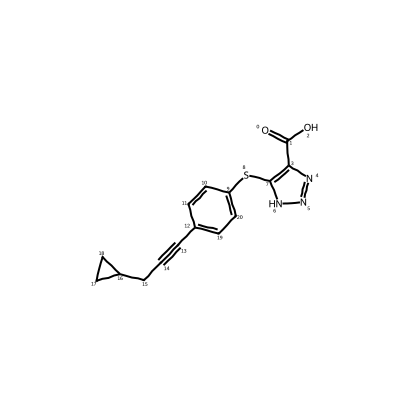 O=C(O)c1nn[nH]c1Sc1ccc(C#CCC2CC2)cc1